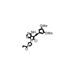 C=CC(=O)N1CC[C@H](n2c(Cl)c(C#Cc3cc(OC)cc(OC)c3)c3c(N)ncnc32)C1